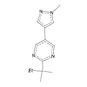 CCC(C)(C)c1ncc(-c2cnn(C)c2)cn1